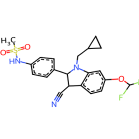 CS(=O)(=O)Nc1ccc(C2C(C#N)c3ccc(OC(F)F)cc3N2CC2CC2)cc1